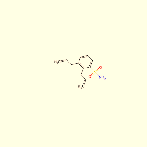 C=CCc1cccc(S(N)(=O)=O)c1CC=C